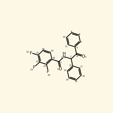 O=C(NC(C(=O)c1ccccc1)c1ccccc1)c1ccc(F)c(F)c1F